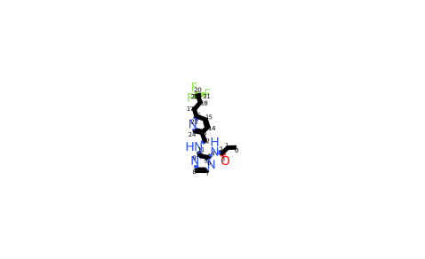 CCC(=O)Nc1nccnc1NCc1ccc(CCC(F)(F)F)nc1